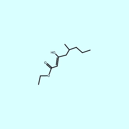 CCCC(C)CC(O)=CC(=O)OCC